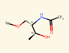 [2H]OC[C@H](NC(=O)C(F)(F)F)[C@H](C)O